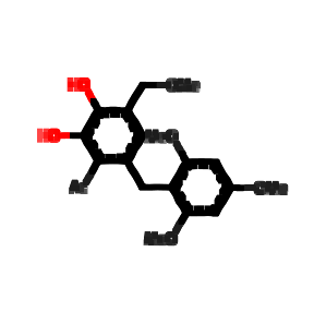 COCc1cc(Cc2c(OC)cc(OC)cc2OC)c(C(C)=O)c(O)c1O